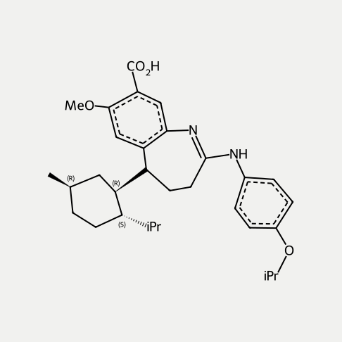 COc1cc2c(cc1C(=O)O)N=C(Nc1ccc(OC(C)C)cc1)CCC2[C@@H]1C[C@H](C)CC[C@H]1C(C)C